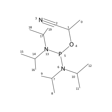 CC(C#N)OP(N(C(C)C)C(C)C)N(C(C)C)C(C)C